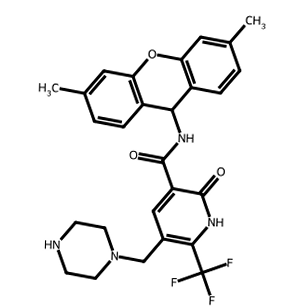 Cc1ccc2c(c1)Oc1cc(C)ccc1C2NC(=O)c1cc(CN2CCNCC2)c(C(F)(F)F)[nH]c1=O